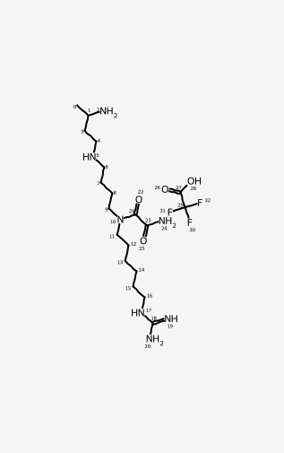 CC(N)CCNCCCCN(CCCCCCNC(=N)N)C(=O)C(N)=O.O=C(O)C(F)(F)F